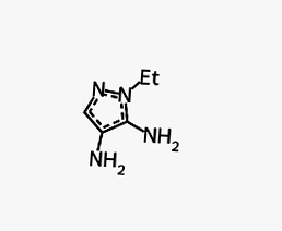 CCn1ncc(N)c1N